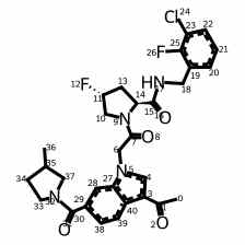 CC(=O)c1cn(CC(=O)N2C[C@H](F)C[C@H]2C(=O)NCc2cccc(Cl)c2F)c2cc(C(=O)N3CCC(C)C3)ccc12